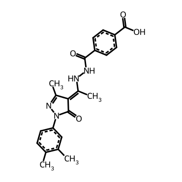 CC1=NN(c2ccc(C)c(C)c2)C(=O)C1=C(C)NNC(=O)c1ccc(C(=O)O)cc1